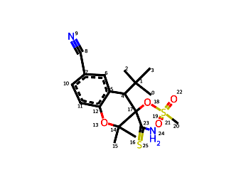 CC(C)(C)C1c2cc(C#N)ccc2OC(C)(C)C1(OS(C)(=O)=O)C(N)=S